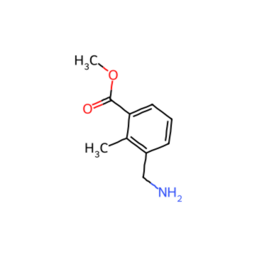 COC(=O)c1cccc(CN)c1C